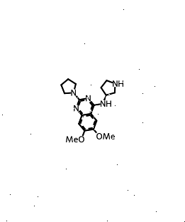 COc1cc2nc(N3CCCC3)nc(N[C@H]3CCNC3)c2cc1OC